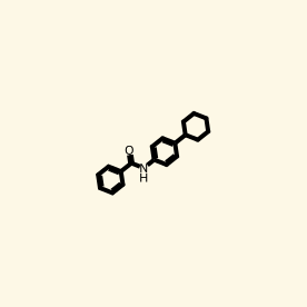 O=C(Nc1ccc(C2CCCCC2)cc1)c1ccccc1